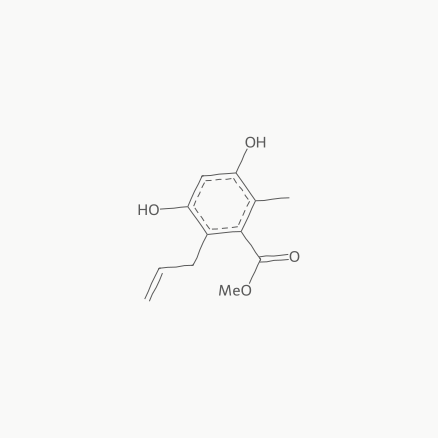 C=CCc1c(O)cc(O)c(C)c1C(=O)OC